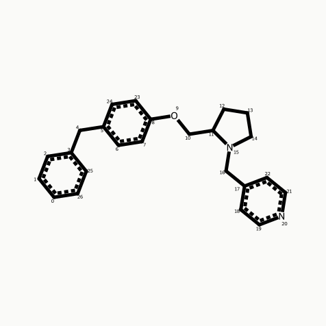 c1ccc(Cc2ccc(OCC3CCCN3Cc3ccncc3)cc2)cc1